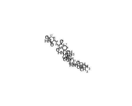 CCC(Nc1cccc2c1C(=O)C(CCC1CCC(=O)NC1=O)C2=O)N(C)S(=O)(=O)N1CCC(NC(=O)OC(C)(C)C)CC1